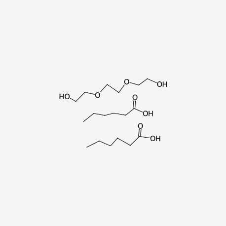 CCCCCC(=O)O.CCCCCC(=O)O.OCCOCCOCCO